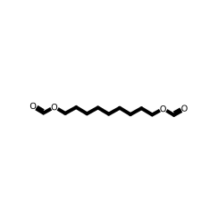 O=COCCCCCCCCCOC=O